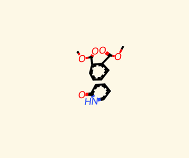 COC(=O)c1ccccc1C(=O)OC.O=c1cccc[nH]1